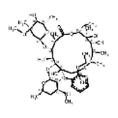 CCOc1ncccc1O[C@H]1[C@H](O[C@@H]2[C@@H](C)[C@H](O[C@H]3C[C@@](C)(OC)[C@@H](O)[C@H](C)O3)[C@@H](C)C(=O)O[C@H](CC)[C@@](C)(O)[C@H](O)[C@@H](C)N(C)C[C@H](C)C[C@@]2(C)O)O[C@H](C)C[C@@H]1NC